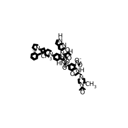 CCc1ccccc1[C@@H]1CCCN1C1CC2(CCN(c3ccc(C(=O)NS(=O)(=O)c4cc5c(c([N+](=O)[O-])c4)N[C@@H](CN4CCN(C6COC6)[C@H](C)C4)CO5)c(N4c5cc6cc[nH]c6nc5O[C@@H]5COC[C@@H]54)c3)CC2)C1